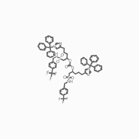 O=C(OC(CCCc1cn(C(c2ccccc2)(c2ccccc2)c2ccccc2)cn1)CS(=O)(=O)NCc1ccc(C(F)(F)F)cc1)OC(CCCc1cn(C(c2ccccc2)(c2ccccc2)c2ccccc2)cn1)CS(=O)(=O)NCc1ccc(C(F)(F)F)cc1